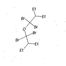 CCC(CC)C(Br)(Br)OC(Br)(Br)C(CC)CC